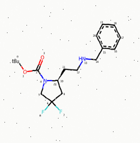 CC(C)(C)OC(=O)N1CC(F)(F)C[C@@H]1CCNCc1ccccc1